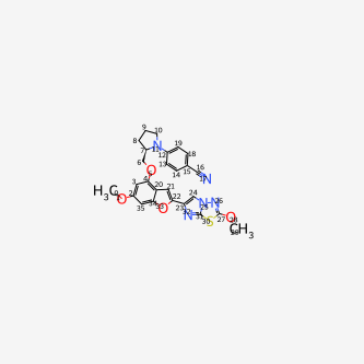 COc1cc(OC[C@H]2CCCN2c2ccc(C#N)cc2)c2cc(-c3cn4nc(OC)sc4n3)oc2c1